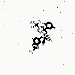 Cc1nc2cc(CC(C)(C#N)S(=O)(=O)C[C@](C)(N[S@+]([O-])C(C)(C)C)c3cc(F)ccc3F)ccc2s1